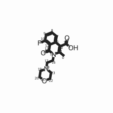 Cc1c(C(=O)O)c2cccc(F)c2c(=O)n1CCN1CCOCC1